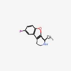 CC1NCCc2c1oc1ccc(I)cc21